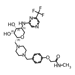 CNC(=O)COc1ccc(CN2CCN(C[C@H]3OC[C@H](Nc4cncc(C(F)(F)F)n4)[C@@H](O)[C@H]3O)CC2)cc1